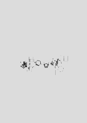 CNC(=O)[C@@H](NC(=O)c1ccc(-c2cccc(CNC(=O)c3ccnn3C)c2)o1)C1CCCCC1